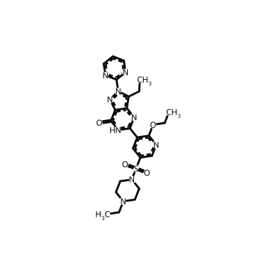 CCOc1ncc(S(=O)(=O)N2CCN(CC)CC2)cc1-c1nc2c(CC)n(-c3ncccn3)nc2c(=O)[nH]1